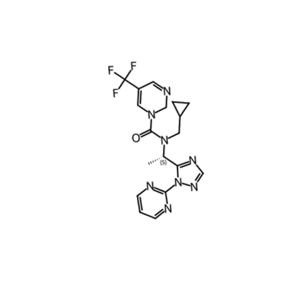 C[C@@H](c1ncnn1-c1ncccn1)N(CC1CC1)C(=O)N1C=C(C(F)(F)F)C=NC1